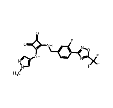 Cn1cc(Nc2c(NCc3ccc(-c4noc(C(F)(F)F)n4)c(F)c3)c(=O)c2=O)cn1